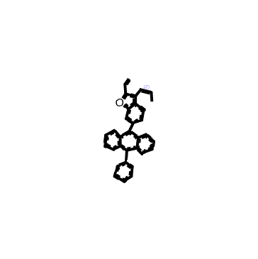 C=Cc1oc2cc(-c3c4ccccc4c(-c4ccccc4)c4ccccc34)ccc2c1/C=C\C